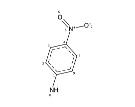 [NH]c1ccc([N+](=O)[O-])cc1